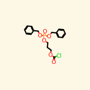 O=C(Cl)OCCCOP(=O)(OCc1ccccc1)OCc1ccccc1